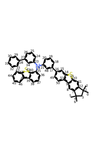 CC1(C)CC(C)(C)c2cc3c(cc21)sc1cc(-c2cccc(N(c4cccc(-c5ccccc5)c4)c4cccc5c4sc4ccccc45)c2)ccc13